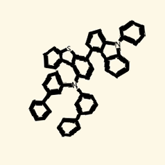 c1ccc(-c2cccc(N(c3cccc(-c4ccccc4)c3)c3ccc(-c4cccc5c4c4ccccc4n5-c4ccccc4)c4sc5ccccc5c34)c2)cc1